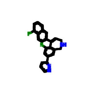 Fc1cc(-c2cccnn2)cc2c1C(c1ccc3c(F)cccc3c1)=CCNC2